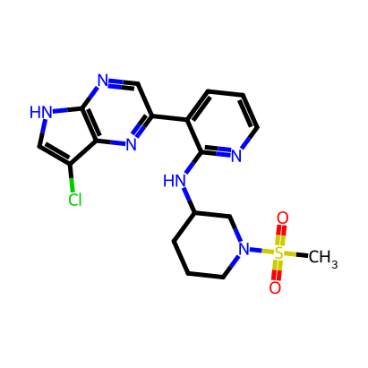 CS(=O)(=O)N1CCCC(Nc2ncccc2-c2cnc3[nH]cc(Cl)c3n2)C1